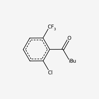 CCC(C)C(=O)c1c(Cl)cccc1C(F)(F)F